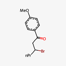 CCCC(Br)CC(=O)c1ccc(OC)cc1